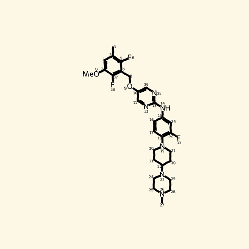 COc1cc(C)c(F)c(COc2cnc(Nc3ccc(N4CCC(N5CCN(C)CC5)CC4)c(F)c3)nc2)c1F